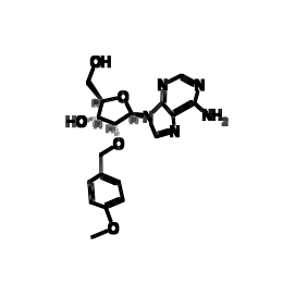 COc1ccc(CO[C@@H]2[C@H](O)[C@@H](CO)O[C@H]2n2cnc3c(N)ncnc32)cc1